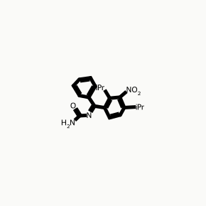 CC(C)c1ccc(C(=NC(N)=O)c2ccccc2)c(C(C)C)c1[N+](=O)[O-]